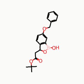 CC(C)(C)OC(=O)CC1OB(O)c2cc(OCc3ccccc3)ccc21